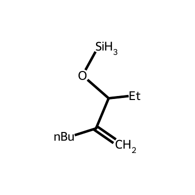 C=C(CCCC)C(CC)O[SiH3]